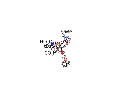 COCCCN1CCOc2ccc(CO[C@H]3CN(C(=O)O)C(C(C)(C)C)[C@@H](OCC(=O)O)[C@@H]3c3ccc(OCCCOc4ccccc4Cl)cc3)cc21